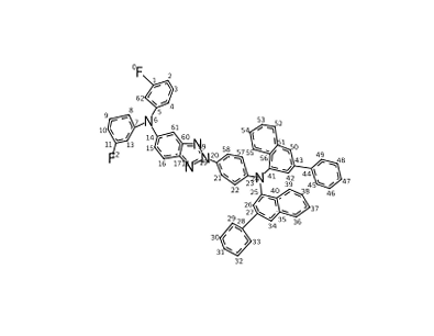 Fc1cccc(N(c2cccc(F)c2)c2ccc3nn(-c4ccc(N(c5cc(-c6ccccc6)cc6ccccc56)c5cc(-c6ccccc6)cc6ccccc56)cc4)nc3c2)c1